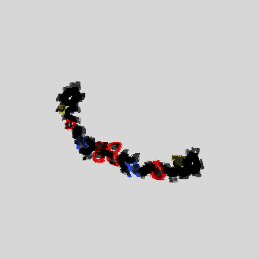 O=C(OC1CCN(CCOCCc2cc3ccccc3s2)C1)C(=O)OC1CCN(CCOCCc2cc3ccccc3s2)C1